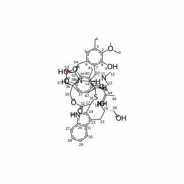 COc1c(C)cc2c(c1O)[C@H](N(C)C)[C@@H]1[C@@H]3S[C@]4(N[C@H](CO)Cc5c4[nH]c4ccccc54)C(=O)OC[C@@H](c4c5c(c(C)c(OC(C)=O)c43)OCO5)N1[C@@H](O)C2